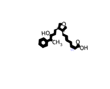 CC(c1ccccc1)C(O)CC[C@H]1COC[C@H]1CC=CC/C=C\C(=O)O